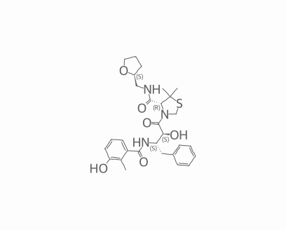 Cc1c(O)cccc1C(=O)N[C@@H](Cc1ccccc1)[C@H](O)C(=O)N1CSC(C)(C)[C@H]1C(=O)NC[C@@H]1CCCO1